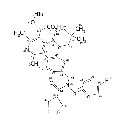 Cc1nc(C)c(C(OC(C)(C)C)C(=O)O)c(N2CCC(C)(C)CC2)c1-c1ccc(CN(Cc2ccc(F)cc2)C(=O)C2CCCC2)cc1